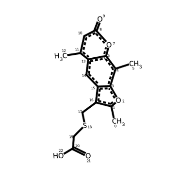 Cc1oc2c(C)c3oc(=O)cc(C)c3cc2c1CSCC(=O)O